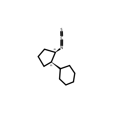 S=C=N[C@@H]1CCC[C@@H]1C1CCCCC1